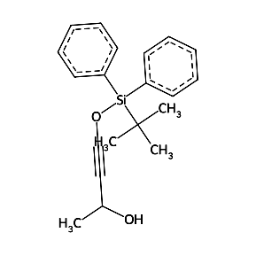 CC(O)C#CO[Si](c1ccccc1)(c1ccccc1)C(C)(C)C